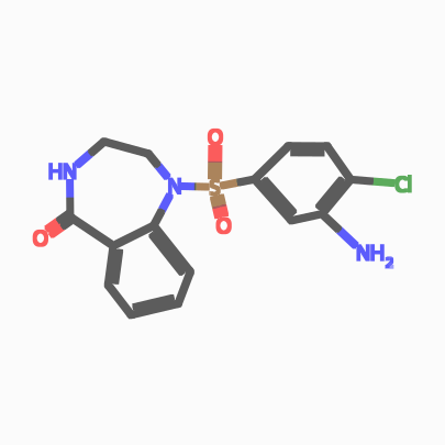 Nc1cc(S(=O)(=O)N2CCNC(=O)c3ccccc32)ccc1Cl